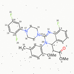 COC(=O)CC1c2cccc(F)c2N=C(N2CCN(c3cc(F)ccc3F)CC2)N1c1cc(C)ccc1OC